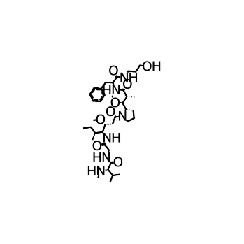 CC[C@H](C)[C@H](NC(=O)CNC(=O)[C@@H](NC)C(C)C)[C@@H](CC(=O)N1CCC[C@H]1[C@H](OC)[C@@H](C)C(=O)N[C@@H](Cc1ccccc1)C(=O)NCCCO)OC